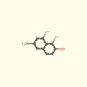 Oc1ccc2cc(NC(F)(F)F)cc(F)c2c1F